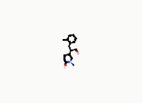 Cc1ccccc1[CH]C(C=O)c1ccc(=O)n(C)c1